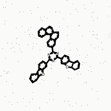 C1=CCC2Oc3cc(-c4nc(-c5ccc6c(ccc7ccc8ccccc8c76)c5)nc(-c5ccc6c(c5)oc5ccccc56)n4)ccc3C2=C1